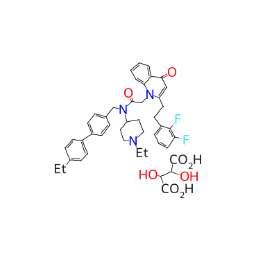 CCc1ccc(-c2ccc(CN(C(=O)Cn3c(CCc4cccc(F)c4F)cc(=O)c4ccccc43)C3CCN(CC)CC3)cc2)cc1.O=C(O)C(O)C(O)C(=O)O